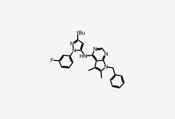 Cc1c(C)n(Cc2ccccc2)c2ncnc(Nc3cc(C(C)(C)C)nn3-c3cccc(F)c3)c12